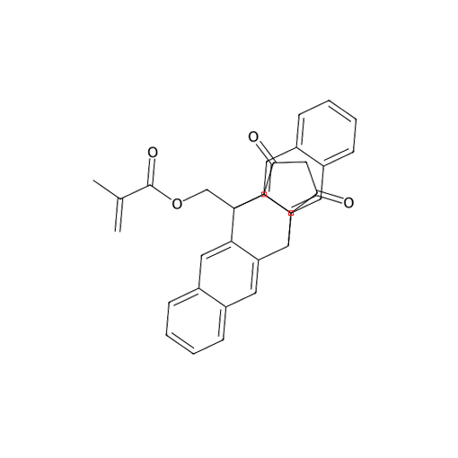 C=C(C)C(=O)OCC12c3cc4ccccc4cc3C(c3cc4ccccc4cc31)C1C(=O)CC(=O)C12